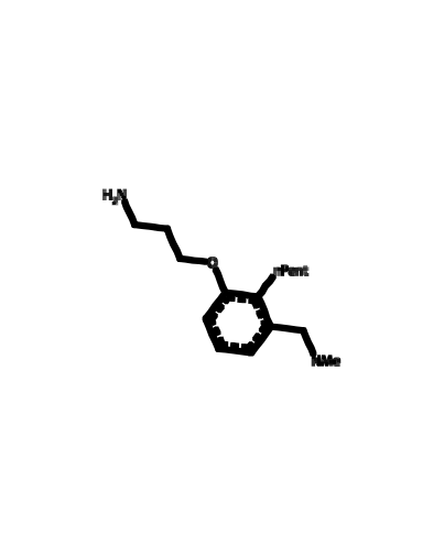 CCCCCc1c(CNC)cccc1OCCCN